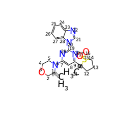 C[C@@H]1COCCN1c1cc([C@@]2(C)CCCS2(=O)=O)nc(-n2cnc3ccccc32)n1